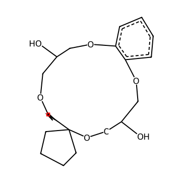 OC1COc2ccccc2OCC(O)COC2(CCCC2)C2(CCCC2)OC1